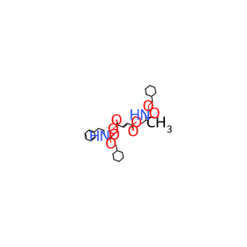 C[C@H](COC(=O)/C=C/C(=O)OC[C@@H](Cc1ccccc1)NC(=O)OCC1CCCCC1)NC(=O)OCC1CCCCC1